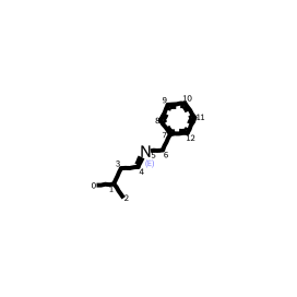 CC(C)C/C=N/Cc1ccccc1